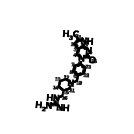 Cc1cc2cn(-c3ccc(CN4CCC[C@H](CNC(=N)N)C4)cc3)c(=O)nc2[nH]1